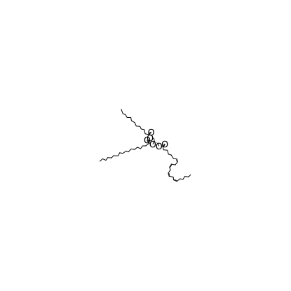 CCCCC/C=C\C/C=C\C/C=C\C/C=C\CCCCCC(=O)OC[C@@H](COC(=O)CCCCCCCCCCCC)OC(=O)CCCCCCCCCCCCCCCCC